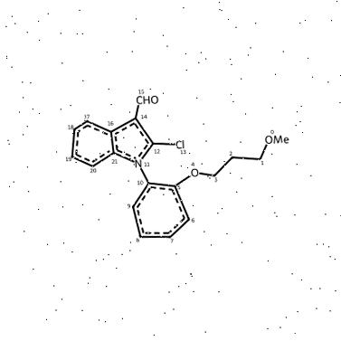 COCCCOc1ccccc1-n1c(Cl)c(C=O)c2ccccc21